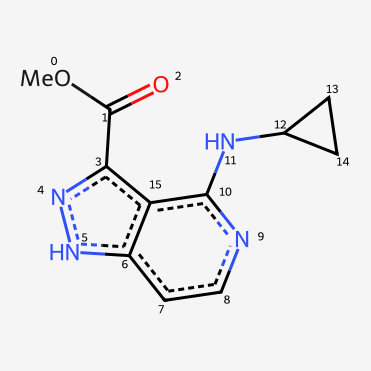 COC(=O)c1n[nH]c2ccnc(NC3CC3)c12